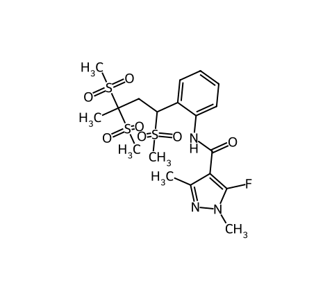 Cc1nn(C)c(F)c1C(=O)Nc1ccccc1C(CC(C)(S(C)(=O)=O)S(C)(=O)=O)S(C)(=O)=O